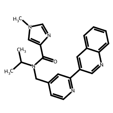 CC(C)N(Cc1ccnc(-c2cnc3ccccc3c2)c1)C(=O)c1cn(C)cn1